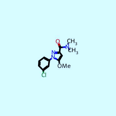 COc1cc(C(=O)N(C)C)nn1-c1cccc(Cl)c1